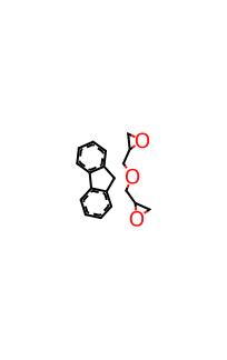 C(OCC1CO1)C1CO1.c1ccc2c(c1)Cc1ccccc1-2